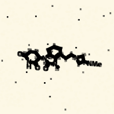 CNC1CN(CCc2cccc3c2n(C)c(=O)n3C2CCC(=O)NC2=O)C1